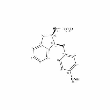 CCOC(=O)N[C@@H]1Cc2ccccc2[C@@H]1Cc1ccc(OC)cc1